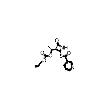 C=CCOC(=O)O[C@H](C)[C@H]1C(=O)N[C@@H]1SC(=O)c1cccnc1